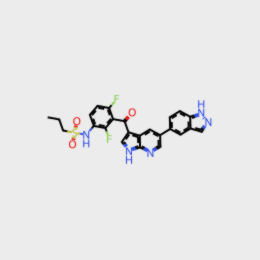 CCCS(=O)(=O)Nc1ccc(F)c(C(=O)c2c[nH]c3ncc(-c4ccc5[nH]ncc5c4)cc23)c1F